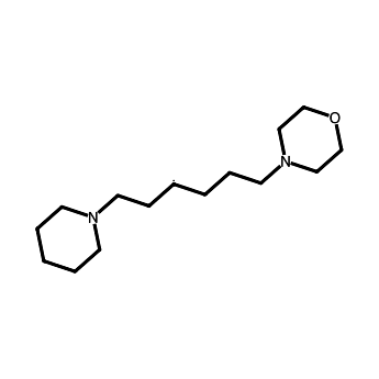 [CH](CCCN1CCOCC1)CCN1CCCCC1